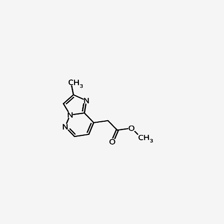 COC(=O)Cc1ccnn2cc(C)nc12